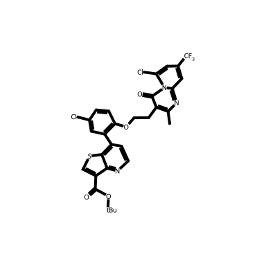 Cc1nc2cc(C(F)(F)F)cc(Cl)n2c(=O)c1CCOc1ccc(Cl)cc1-c1ccnc2c(C(=O)OC(C)(C)C)csc12